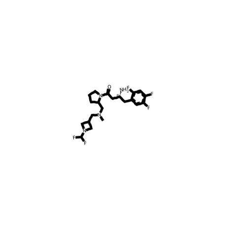 CN(CC1CN(C(F)F)C1)CC1CCCN1C(=O)C[C@H](N)Cc1cc(F)c(F)cc1F